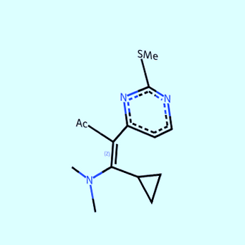 CSc1nccc(/C(C(C)=O)=C(\C2CC2)N(C)C)n1